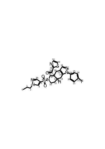 CCCn1cc(S(=O)(=O)N2CC[C@H]3Cc4c(cnn4-c4ccc(F)cc4)C[C@]3(C(=O)c3nccs3)C2)cn1